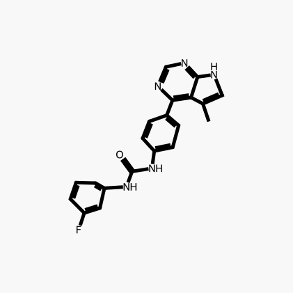 Cc1c[nH]c2ncnc(-c3ccc(NC(=O)Nc4cccc(F)c4)cc3)c12